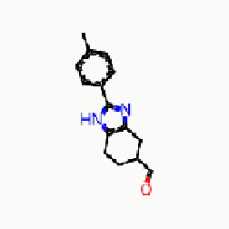 Cc1ccc(-c2nc3c([nH]2)CCC(C=O)C3)cc1